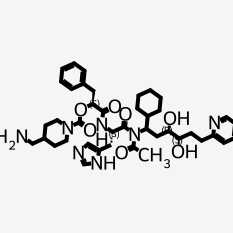 CC(=O)N(C(=O)[C@H](Cc1cnc[nH]1)NC(=O)[C@H](Cc1ccccc1)OC(=O)N1CCC(CN)CC1)C(C[C@@H](O)[C@@H](O)CCc1ccccn1)C1CCCCC1